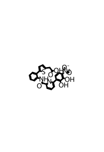 O=C(O)Cc1ccc(-c2ccccc2NC(=O)c2cccc(-c3ccc([N+](=O)[O-])c(O)c3O)n2)s1